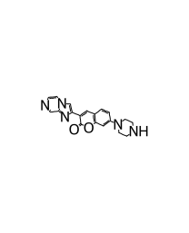 O=c1oc2cc(N3CCNCC3)ccc2cc1-c1cn2ccncc2n1